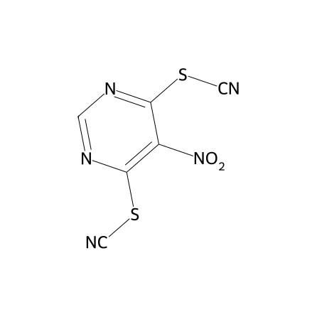 N#CSc1ncnc(SC#N)c1[N+](=O)[O-]